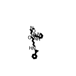 O=C(NC(CCCCNC1CC1c1ccccc1)C(=O)NCc1cnco1)c1ccccn1